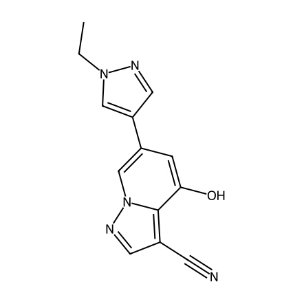 CCn1cc(-c2cc(O)c3c(C#N)cnn3c2)cn1